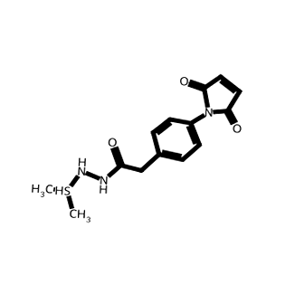 C[SH](C)NNC(=O)Cc1ccc(N2C(=O)C=CC2=O)cc1